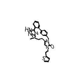 CCCCc1cn(CCc2cccs2)c(=O)n1Cc1ccc(-c2ccccc2-c2nnn[nH]2)cc1